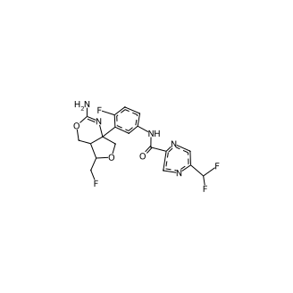 NC1=NC2(c3cc(NC(=O)c4cnc(C(F)F)cn4)ccc3F)COC(CF)C2CO1